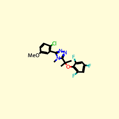 COc1ccc(Cl)c(-c2nnc(C(C)(C)Oc3c(F)cc(F)cc3F)n2C)c1